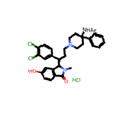 CC(=O)NC1(c2ccccc2)CCN(CCC(c2ccc(Cl)c(Cl)c2)C2c3cc(O)ccc3C(=O)N2C)CC1.Cl